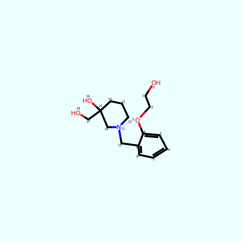 OCCOc1ccccc1CN1CCCC(O)(CO)C1